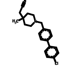 CC1(CC#N)CCN(Cc2ccc(-c3ccc(Cl)cc3)cc2)CC1